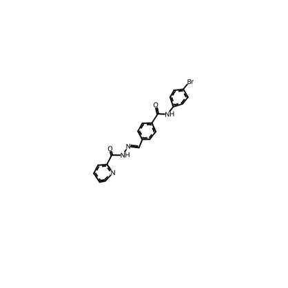 O=C(Nc1ccc(Br)cc1)c1ccc(C=NNC(=O)c2ccccn2)cc1